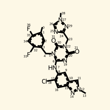 Cc1cc(Cn2c(Nc3cc4cn(C)nc4cc3Cl)nc(=O)n(Cc3ncn(C)n3)c2=O)c(F)cc1F